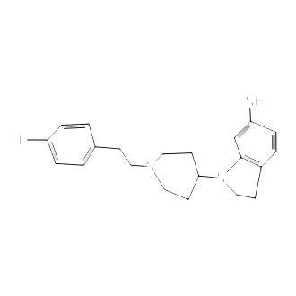 Nc1ccc2c(c1)N(C1CCN(CCc3ccc(F)cc3)CC1)CC2